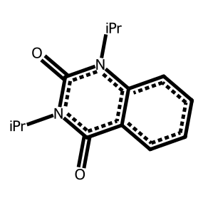 CC(C)n1c(=O)c2ccccc2n(C(C)C)c1=O